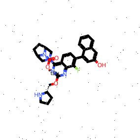 CC(C)(C)OC(=O)N1C2CCC1CN(c1nc(OC[C@@H]3CCCN3)nc3c(F)c(-c4cc(O)cc5ccccc45)ccc13)C2